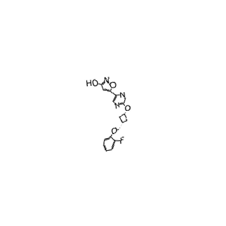 Oc1cc(-c2cnc(O[C@H]3C[C@@H](COc4ccccc4F)C3)cn2)on1